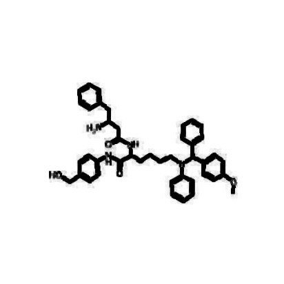 COc1ccc(C(c2ccccc2)N(CCCCC(NC(=O)CC(N)Cc2ccccc2)C(=O)Nc2ccc(CO)cc2)c2ccccc2)cc1